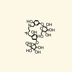 CN(CCN(C)Cc1cc(O[C@@H]2O[C@H](CO)[C@@H](O)[C@H](O)[C@H]2O)ccc1O)Cc1cc(O[C@@H]2O[C@H](CO)[C@@H](O)[C@H](O)[C@H]2O)ccc1O